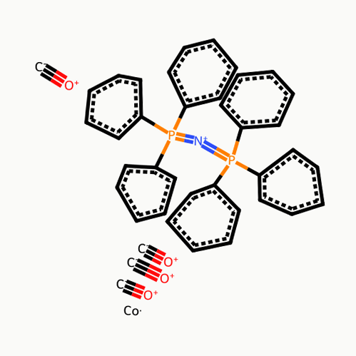 [C-]#[O+].[C-]#[O+].[C-]#[O+].[C-]#[O+].[Co].c1ccc(P(=[N+]=P(c2ccccc2)(c2ccccc2)c2ccccc2)(c2ccccc2)c2ccccc2)cc1